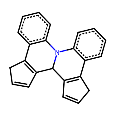 C1=CC2=C(C1)c1ccccc1N1c3ccccc3C3=C(C=CC3)C21